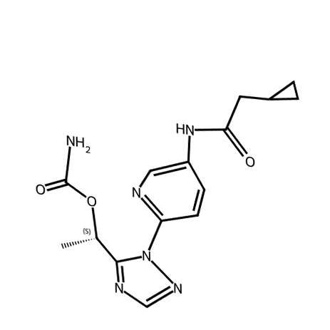 C[C@H](OC(N)=O)c1ncnn1-c1ccc(NC(=O)CC2CC2)cn1